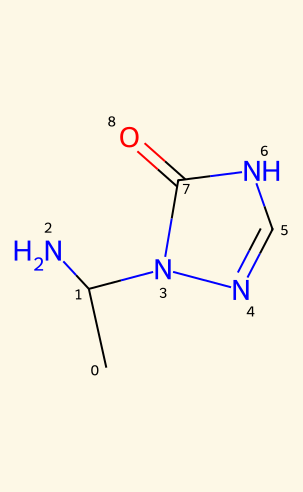 CC(N)n1nc[nH]c1=O